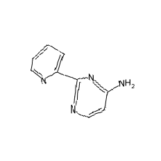 Nc1ccnc(-c2ccccn2)n1